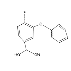 OC(O)c1ccc(F)c(Oc2ccccc2)c1